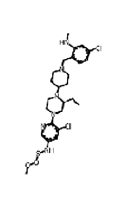 CC[C@H]1CN(c2ncc(NSOOC)cc2Cl)CCN1C1CCN(Cc2ccc(Cl)cc2NC)CC1